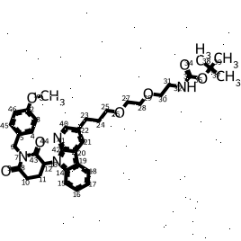 COc1ccc(CN2C(=O)CCC(n3c4ccccc4c4cc(CCCOCCOCCNC(=O)OC(C)(C)C)cnc43)C2=O)cc1